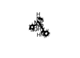 Oc1ncccc1-c1nc2c(c(OCCc3c[nH]c4ccccc34)n1)OCCN2